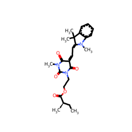 CC[C@@H](C)C(=O)OCCN1C(=O)/C(=C/C=C2\N(C)c3ccccc3C2(C)C)C(=O)N(C)C1=O